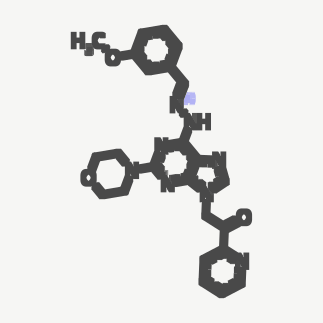 COc1cccc(/C=N/Nc2nc(N3CCOCC3)nc3c2ncn3CC(=O)c2ccccn2)c1